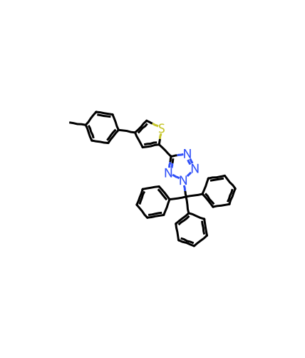 Cc1ccc(-c2csc(-c3nnn(C(c4ccccc4)(c4ccccc4)c4ccccc4)n3)c2)cc1